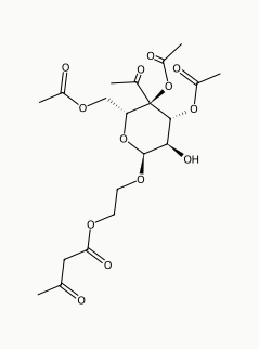 CC(=O)CC(=O)OCCO[C@H]1O[C@H](COC(C)=O)[C@](OC(C)=O)(C(C)=O)[C@H](OC(C)=O)[C@H]1O